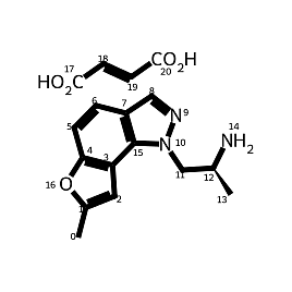 Cc1cc2c(ccc3cnn(C[C@H](C)N)c32)o1.O=C(O)/C=C/C(=O)O